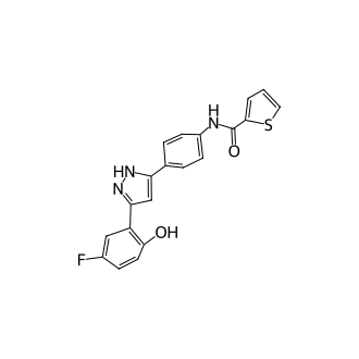 O=C(Nc1ccc(-c2cc(-c3cc(F)ccc3O)n[nH]2)cc1)c1cccs1